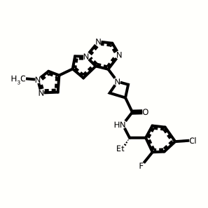 CC[C@H](NC(=O)C1CN(c2ncnn3cc(-c4cnn(C)c4)cc23)C1)c1ccc(Cl)cc1F